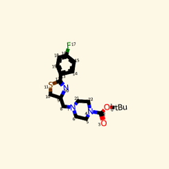 CC(C)(C)OC(=O)N1CCN(CC2CSC(c3ccc(F)cc3)=N2)CC1